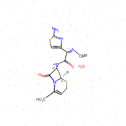 CO/N=C(\C(=O)N[C@@H]1C(=O)N2C(C(=O)O)=CCS[C@H]12)c1csc(N)n1.O